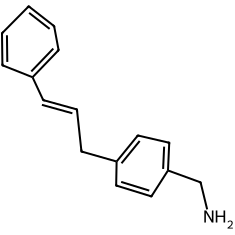 NCc1ccc(CC=Cc2ccccc2)cc1